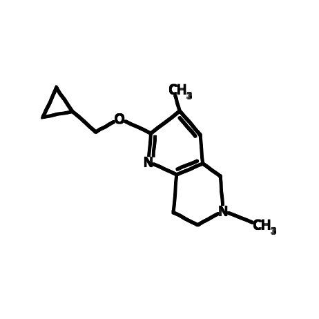 Cc1cc2c(nc1OCC1CC1)CCN(C)C2